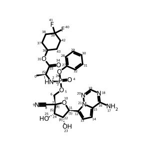 C[C@H](N[P@@](=O)(OC[C@@]1(C#N)O[C@@H](c2ccc3c(N)ncnn23)[C@H](O)[C@@H]1O)Oc1ccccc1)C(=O)OC1CCC(F)(F)CC1